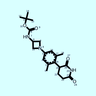 Cc1cc(N2CC(NC(=O)OC(C)(C)C)C2)cc(C)c1C1CCC(=O)NC1=O